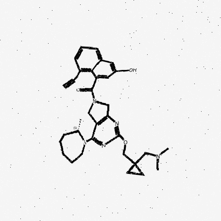 C#Cc1cccc2cc(O)cc(C(=O)N3Cc4nc(OCC5(CN(C)C)CC5)nc(N5CCCCC[C@@H]5C)c4C3)c12